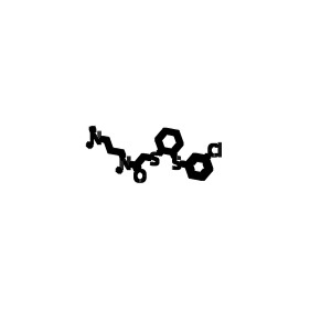 CN(C)CCCN(C)C(=O)CSC1CCCCC1Sc1cccc(Cl)c1